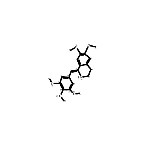 COc1cc2c(cc1OC)C(=Cc1cc(OC)c(OC)c(OC)c1)NCC2